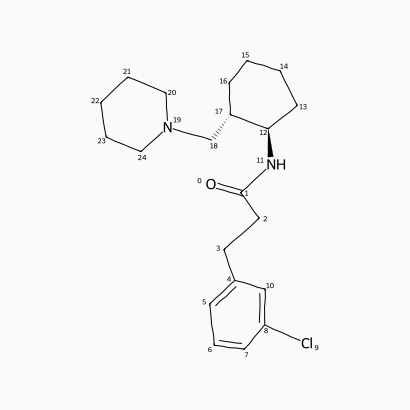 O=C(CCc1cccc(Cl)c1)N[C@@H]1CCCC[C@H]1CN1CCCCC1